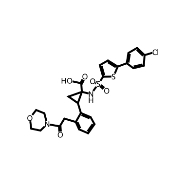 O=C(Cc1ccccc1C1CC1(NS(=O)(=O)c1ccc(-c2ccc(Cl)cc2)s1)C(=O)O)N1CCOCC1